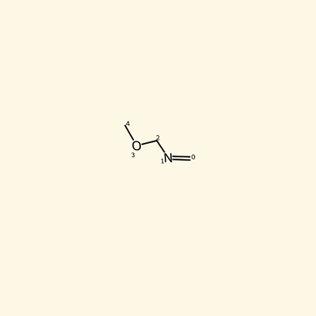 C=NCOC